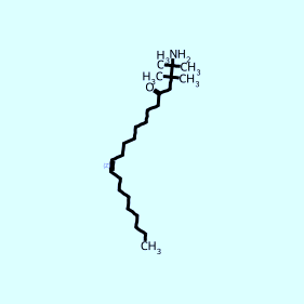 CCCCCCCC/C=C\CCCCCCCC(=O)CC(C)(C)C(C)(C)N